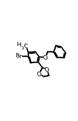 Cc1cc(OCc2ccccc2)c(C2OCCO2)cc1Br